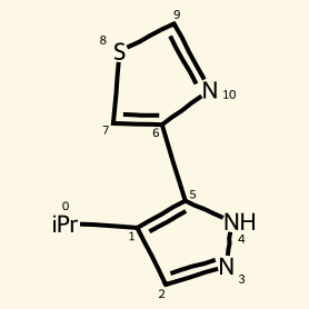 CC(C)c1cn[nH]c1-c1cscn1